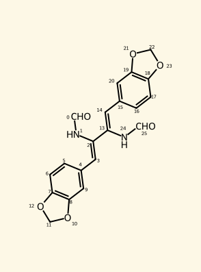 O=CNC(=C\c1ccc2c(c1)OCO2)/C(=C/c1ccc2c(c1)OCO2)NC=O